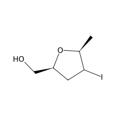 C[C@@H]1O[C@H](CO)CC1I